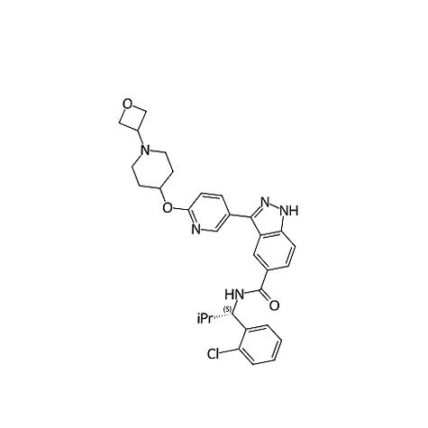 CC(C)[C@H](NC(=O)c1ccc2[nH]nc(-c3ccc(OC4CCN(C5COC5)CC4)nc3)c2c1)c1ccccc1Cl